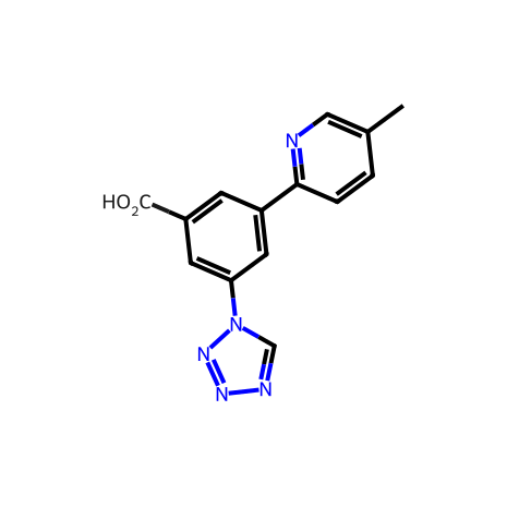 Cc1ccc(-c2cc(C(=O)O)cc(-n3cnnn3)c2)nc1